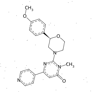 COc1ccc([C@@H]2CN(c3nc(-c4ccncc4)cc(=O)n3C)CCO2)cc1